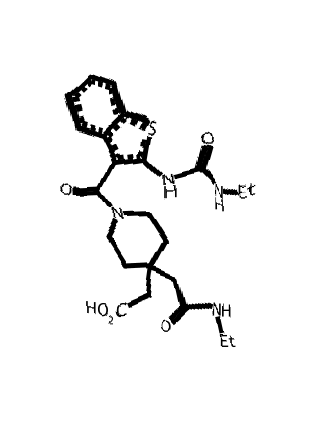 CCNC(=O)CC1(CC(=O)O)CCN(C(=O)c2c(NC(=O)NCC)sc3ccccc23)CC1